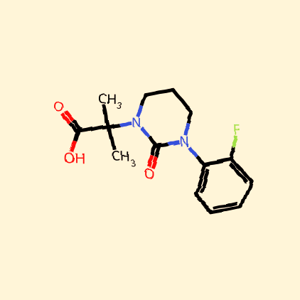 CC(C)(C(=O)O)N1CCCN(c2ccccc2F)C1=O